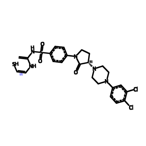 C=C(N/C=C\S)NS(=O)(=O)c1ccc(N2CC[C@H](N3CCN(c4ccc(Cl)c(Cl)c4)CC3)C2=O)cc1